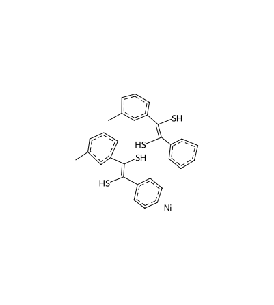 Cc1cccc(C(S)=C(S)c2ccccc2)c1.Cc1cccc(C(S)=C(S)c2ccccc2)c1.[Ni]